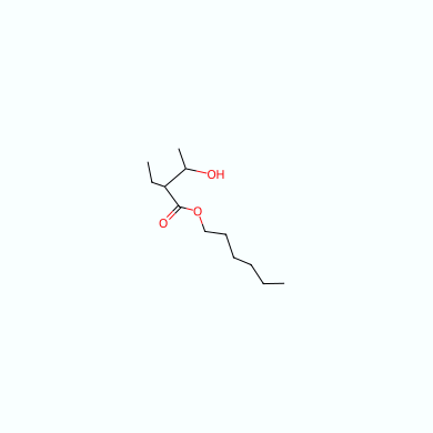 CCCCCCOC(=O)C(CC)C(C)O